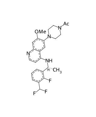 COc1cc2nccc(N[C@H](C)c3cccc(C(F)F)c3F)c2cc1N1CCN(C(C)=O)CC1